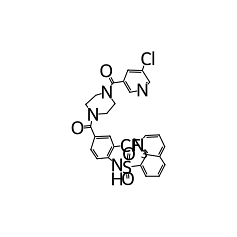 O=C(c1cncc(Cl)c1)N1CCN(C(=O)c2ccc(NS(=O)(=O)c3cccc4cccnc34)c(C(F)(F)F)c2)CC1